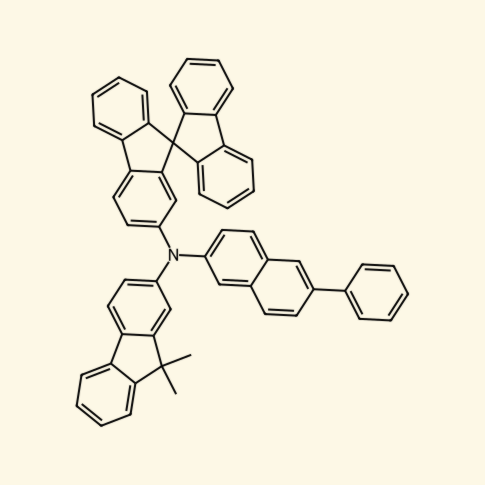 CC1(C)c2ccccc2-c2ccc(N(c3ccc4c(c3)C3(c5ccccc5-c5ccccc53)c3ccccc3-4)c3ccc4cc(-c5ccccc5)ccc4c3)cc21